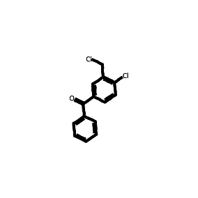 O=C(c1ccccc1)c1ccc(Cl)c(CCl)c1